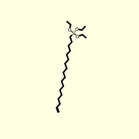 C=CCCCCCCCCCCCCCCCC[Si](OCC)(OCC)OCC